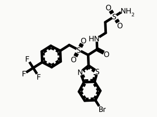 NS(=O)(=O)CCNC(=O)C(c1nc2ccc(Br)cc2s1)S(=O)(=O)Cc1ccc(C(F)(F)F)cc1